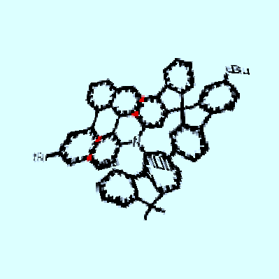 CC(C)(C)c1cc(-c2cccc3cccc(-c4ccccc4N(c4ccc5c(c4)C4(c6ccccc6-5)c5cc(C(C)(C)C)ccc5-c5ccc(C(C)(C)C)cc54)c4cccc5c4-c4ccccc4C5(C)C)c23)cc(C(C)(C)C)c1